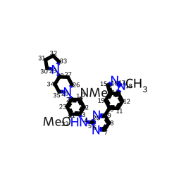 CNc1cc(Nc2nccc(-c3ccc4c(cnn4C)c3)n2)c(OC)cc1N1CCC(N2CCCC2)CC1